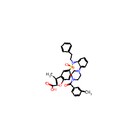 Cc1cccc(C(=O)N2CCN(c3ccccc3N(CCc3ccccc3)S(=O)(=O)c3ccc4oc(C(=O)O)c(C)c4c3)CC2)c1